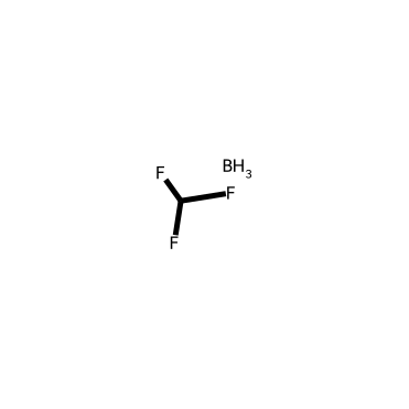 B.FC(F)F